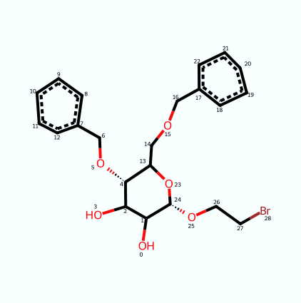 OC1C(O)[C@H](OCc2ccccc2)C(COCc2ccccc2)O[C@@H]1OCCBr